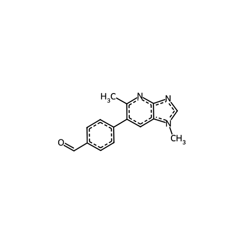 Cc1nc2ncn(C)c2cc1-c1ccc(C=O)cc1